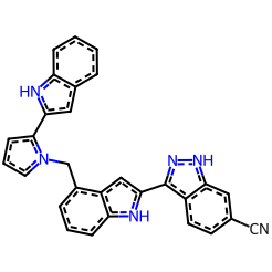 N#Cc1ccc2c(-c3cc4c(Cn5cccc5-c5cc6ccccc6[nH]5)cccc4[nH]3)n[nH]c2c1